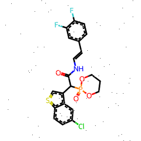 O=C(NC=Cc1ccc(F)c(F)c1)C(c1csc2ccc(Cl)cc12)P1(=O)OCCCO1